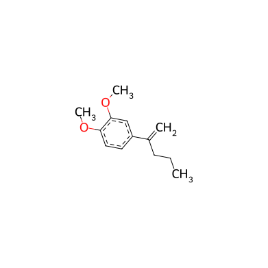 C=C(CCC)c1ccc(OC)c(OC)c1